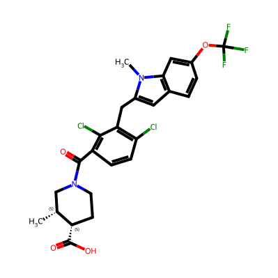 C[C@@H]1CN(C(=O)c2ccc(Cl)c(Cc3cc4ccc(OC(F)(F)F)cc4n3C)c2Cl)CC[C@@H]1C(=O)O